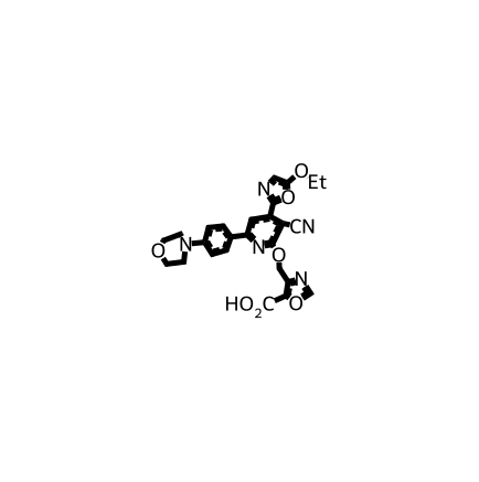 CCOc1cnc(-c2cc(-c3ccc(N4CCOCC4)cc3)nc(OCc3ncoc3C(=O)O)c2C#N)o1